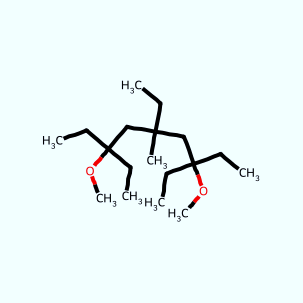 CCC(C)(CC(CC)(CC)OC)CC(CC)(CC)OC